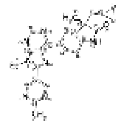 CCn1c(-c2cnc(C)nc2)nc2c(-c3ccc4c(c3)[C@](C)(CC3CC3)C(=O)N4)ncnc21